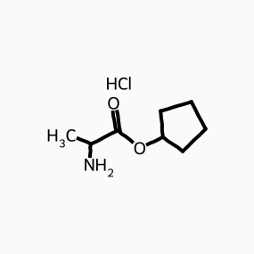 CC(N)C(=O)OC1CCCC1.Cl